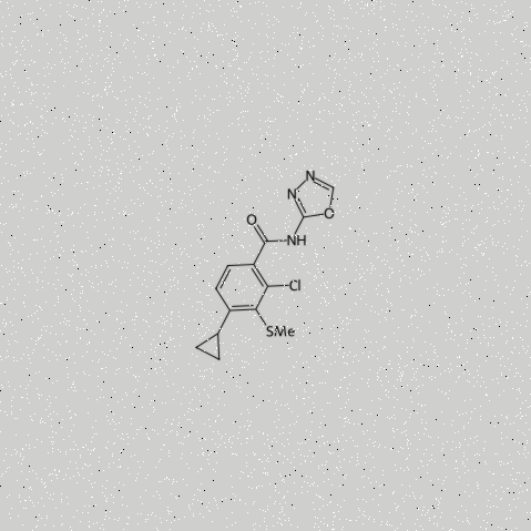 CSc1c(C2CC2)ccc(C(=O)Nc2nnco2)c1Cl